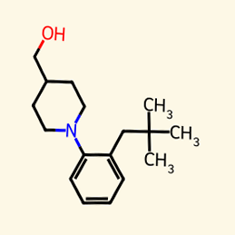 CC(C)(C)Cc1ccccc1N1CCC(CO)CC1